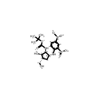 CC(C)(C)OC(=O)N[C@@H]1[C@H](O)[C@@H](CO)C[C@H]1Nc1ccc([N+](=O)[O-])cc1[N+](=O)[O-]